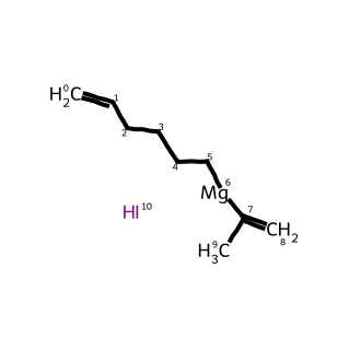 C=CCCC[CH2][Mg][C](=C)C.I